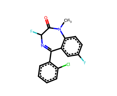 CN1C(=O)C(F)N=C(c2ccccc2Cl)c2cc(F)ccc21